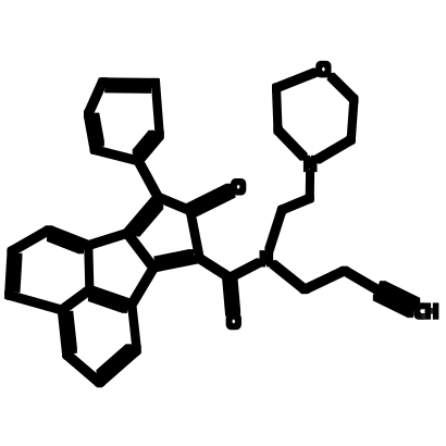 C#CCCN(CCN1CCOCC1)C(=O)C1=C2C(=C(c3ccccc3)C1=O)c1cccc3cccc2c13